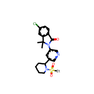 CCS(=O)(=O)N1CCCCC1c1cncc(N2C(=O)c3ccc(Cl)cc3C2(C)C)c1